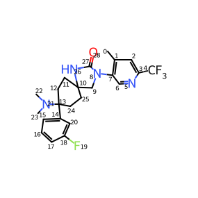 Cc1cc(C(F)(F)F)ncc1N1CC2(CCC(c3cccc(F)c3)(N(C)C)CC2)NC1=O